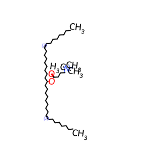 CCCCCCCC/C=C\CCCCCCCCC(CCCCCCCC/C=C\CCCCCCCC)OC(=O)CCC[N+](C)(C)C